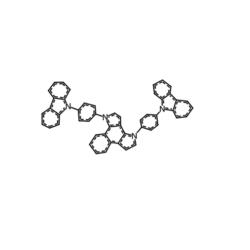 c1ccc2c(c1)c1ccn(-c3ccc(-n4c5ccccc5c5ccccc54)cc3)c1c1ccn(-c3ccc(-n4c5ccccc5c5ccccc54)cc3)c21